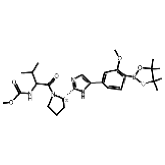 COC(=O)NC(C(=O)N1CCC[C@H]1c1ncc(-c2ccc(B3OC(C)(C)C(C)(C)O3)c(OC)c2)[nH]1)C(C)C